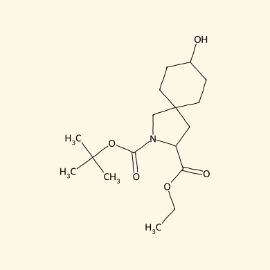 CCOC(=O)C1CC2(CCC(O)CC2)CN1C(=O)OC(C)(C)C